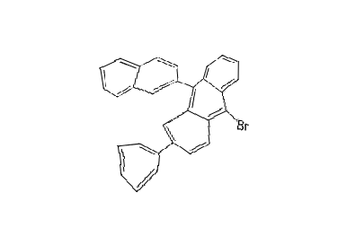 Brc1c2ccccc2c(-c2ccc3ccccc3c2)c2cc(-c3ccccc3)ccc12